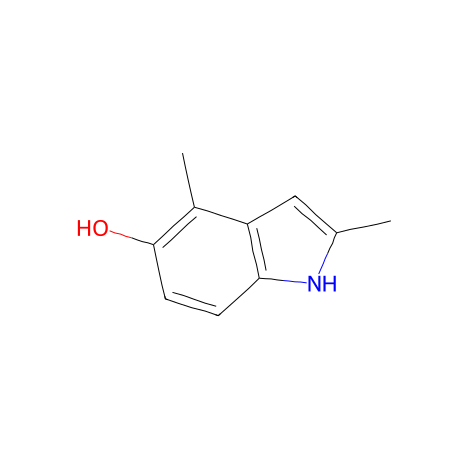 Cc1cc2c(C)c(O)ccc2[nH]1